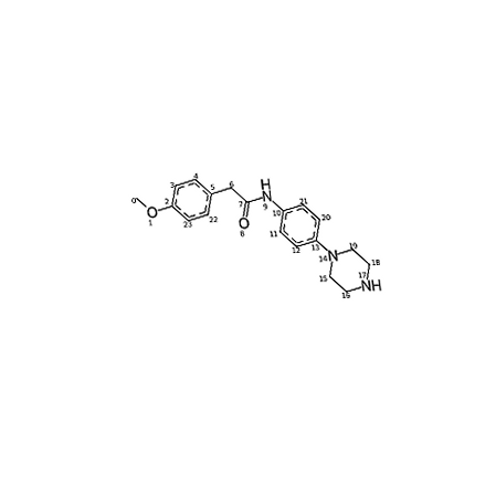 COc1ccc(CC(=O)Nc2ccc(N3CCNCC3)cc2)cc1